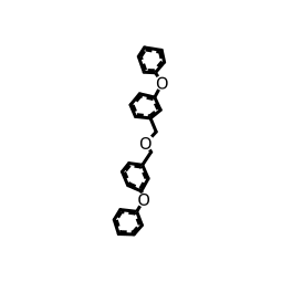 c1ccc(Oc2cccc(COCc3cccc(Oc4ccccc4)c3)c2)cc1